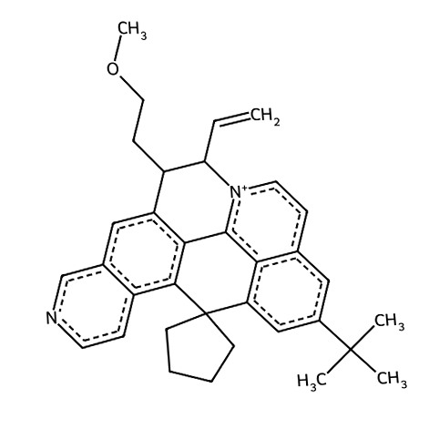 C=CC1C(CCOC)c2cc3cnccc3c3c2-c2c4c(cc(C(C)(C)C)cc4cc[n+]21)C31CCCC1